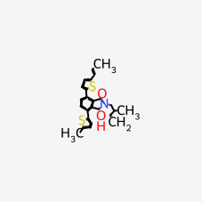 C=CC(C)CN1C(=O)c2c(-c3ccc(/C=C/C)s3)ccc(-c3ccc(C)s3)c2C1O